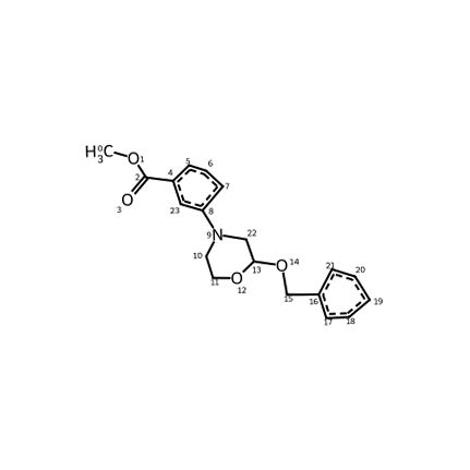 COC(=O)c1cccc(N2CCOC(OCc3ccccc3)C2)c1